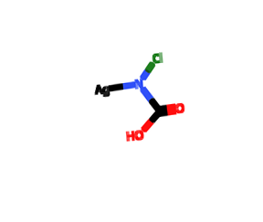 O=C(O)[N](Cl)[Ag]